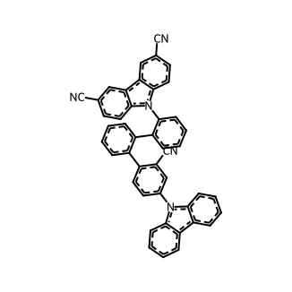 N#Cc1ccc2c(c1)c1cc(C#N)ccc1n2-c1ccccc1-c1ccccc1-c1ccc(-n2c3ccccc3c3ccccc32)cc1C#N